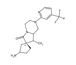 CC1C2CN(c3cc(C(F)(F)F)ccn3)CCN2C(=O)[C@]12CCC(N)C2